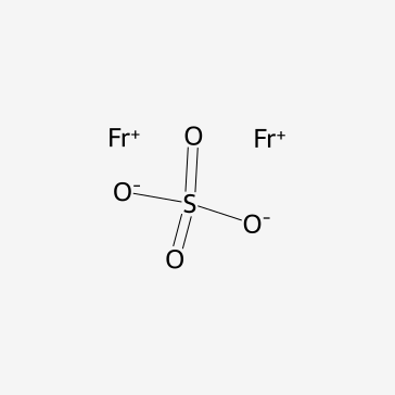 O=S(=O)([O-])[O-].[Fr+].[Fr+]